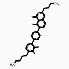 C/C=C/CCc1ccc(-c2ccc(-c3ccc4cc(CCCC)oc(=O)c4c3F)cc2)c(F)c1F